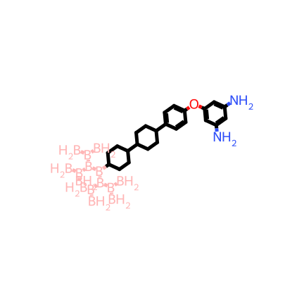 BB(B)B(B(B)B)B(B(B(B)B)B(B)B)C1CCC(C2CCC(c3ccc(Oc4cc(N)cc(N)c4)cc3)CC2)CC1